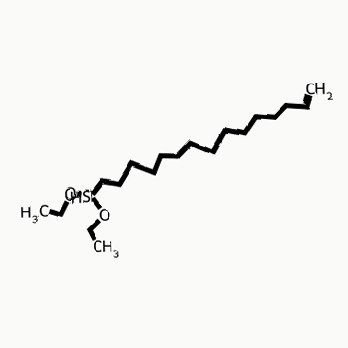 C=CCCCCCCCCCCCCC[SiH](OCC)OCC